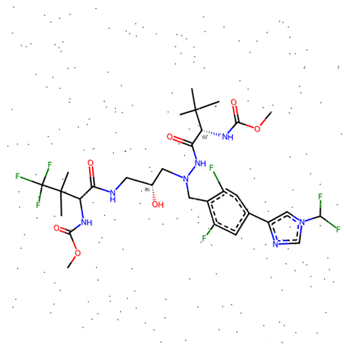 COC(=O)NC(C(=O)NC[C@@H](O)CN(Cc1c(F)cc(-c2cn(C(F)F)cn2)cc1F)NC(=O)[C@@H](NC(=O)OC)C(C)(C)C)C(C)(C)C(F)(F)F